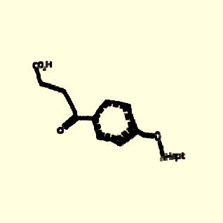 CCCCCCCOc1ccc(C(=O)CCC(=O)O)cc1